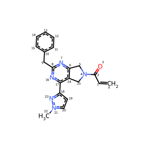 C=CC(=O)N1Cc2nc(Cc3ccccc3)nc(-c3ccn(C)n3)c2C1